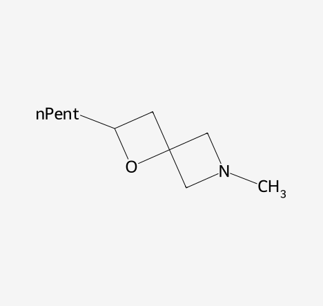 CCCCCC1CC2(CN(C)C2)O1